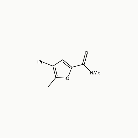 CNC(=O)c1cc(C(C)C)c(C)o1